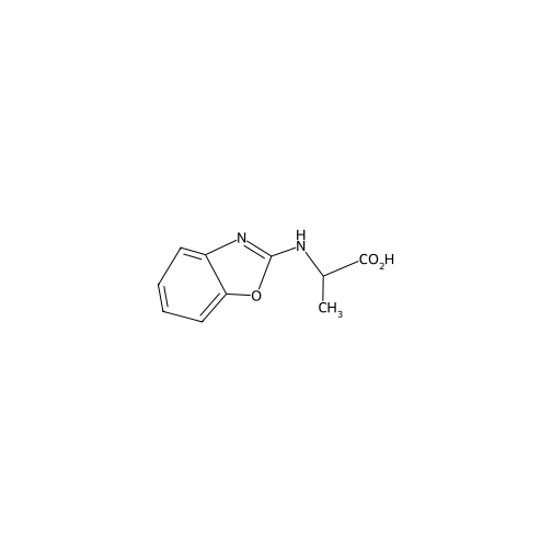 CC(Nc1nc2ccccc2o1)C(=O)O